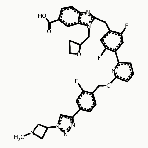 CN1CC(n2cc(-c3ccc(COc4cccc(-c5cc(F)c(Cc6nc7ccc(C(=O)O)cc7n6CC6CCO6)cc5F)n4)c(F)c3)nn2)C1